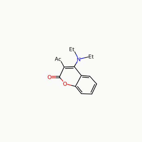 CCN(CC)c1c(C(C)=O)c(=O)oc2ccccc12